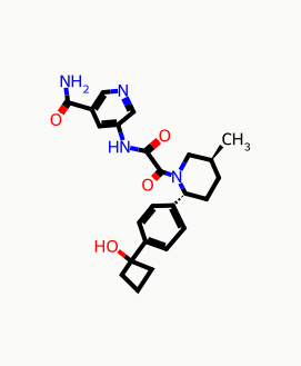 C[C@H]1CC[C@H](c2ccc(C3(O)CCC3)cc2)N(C(=O)C(=O)Nc2cncc(C(N)=O)c2)C1